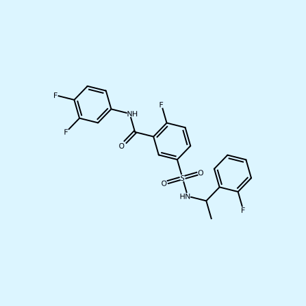 CC(NS(=O)(=O)c1ccc(F)c(C(=O)Nc2ccc(F)c(F)c2)c1)c1ccccc1F